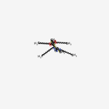 CCCCCCCCCCCCCCc1nc(-c2ccc(-c3nc(CCCCCCCCCCCCCC)c(-c4cc5c(C(=O)OCCCCCCCCCCCC)c6sc(C)cc6c(C(=O)OCCCCCCCCCCCC)c5s4)s3)c3nsnc23)sc1C